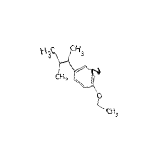 CCOc1ccc(C(C)C(C)C)cn1